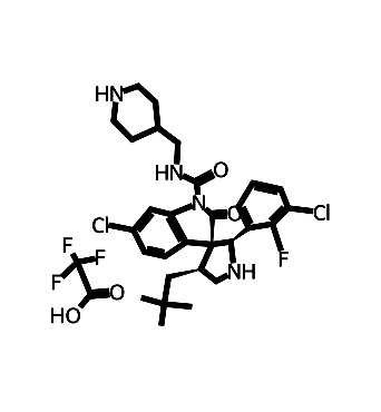 CC(C)(C)C[C@@H]1CN[C@H](c2cccc(Cl)c2F)[C@]12C(=O)N(C(=O)NCC1CCNCC1)c1cc(Cl)ccc12.O=C(O)C(F)(F)F